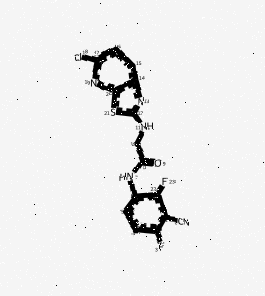 N#Cc1c(F)ccc(NC(=O)CNc2nc3ccc(Cl)nc3s2)c1F